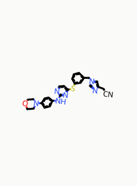 N#CCc1cn(Cc2cccc(Sc3ccnc(Nc4ccc(N5CCOCC5)cc4)n3)c2)cn1